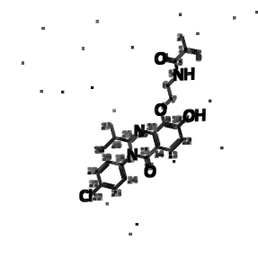 C=C(C)C(=O)NCCOc1c(O)ccc2c(=O)n(-c3ccc(Cl)cc3)c(C(C)C)nc12